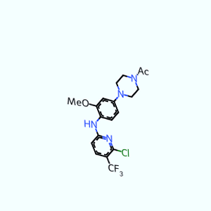 COc1cc(N2CCN(C(C)=O)CC2)ccc1Nc1ccc(C(F)(F)F)c(Cl)n1